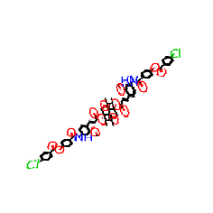 COc1cc(NC(=O)c2ccc(OC(=O)c3ccc(Cl)cc3)cc2)ccc1/C=C/C(=O)O[C@H]1CO[C@H]2[C@@H]1OC[C@H]2OC(=O)/C=C/c1ccc(NC(=O)c2ccc(OC(=O)c3ccc(Cl)cc3)cc2)cc1OC